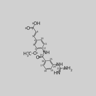 COc1cc(/C=C/C(=O)O)ccc1NC(=O)c1cccc(NC(=N)N)c1